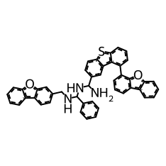 NC(NC(NCc1ccc2c(c1)oc1ccccc12)c1ccccc1)c1ccc2sc3cccc(-c4cccc5c4oc4ccccc45)c3c2c1